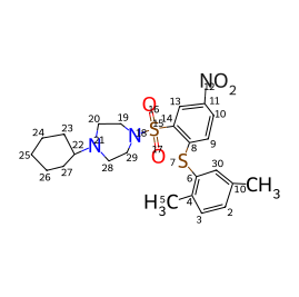 Cc1ccc(C)c(Sc2ccc([N+](=O)[O-])cc2S(=O)(=O)N2CCN(C3CCCCC3)CC2)c1